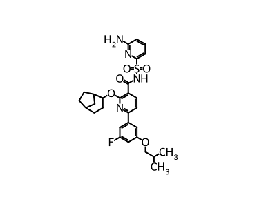 CC(C)COc1cc(F)cc(-c2ccc(C(=O)NS(=O)(=O)c3cccc(N)n3)c(OC3CCC4CCC3C4)n2)c1